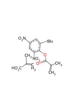 C=C(C)C(=O)O.C=C(C)C(=O)Oc1c([N+](=O)[O-])cc([N+](=O)[O-])cc1C(C)(C)C